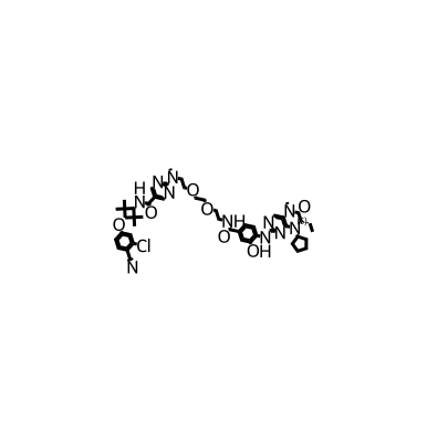 CC[C@H]1C(=O)N(C)c2cnc(Nc3ccc(C(=O)NCCOCCOCCN(C)c4ncc(C(=O)NC5C(C)(C)C(Oc6ccc(C#N)c(Cl)c6)C5(C)C)cn4)cc3OC)nc2N1C1CCCC1